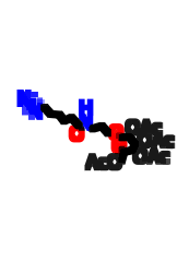 CC(=O)OCC1O[C@@H](OCCCNC(=O)CCCCCN=[N+]=[N-])C(OC(C)=O)C(OC(C)=O)[C@H]1OC(C)=O